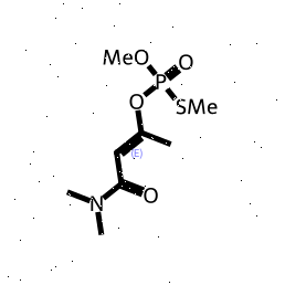 COP(=O)(O/C(C)=C/C(=O)N(C)C)SC